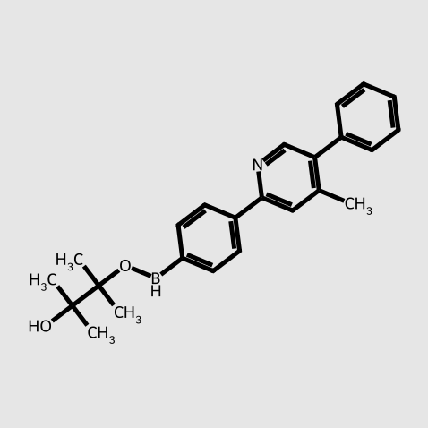 Cc1cc(-c2ccc(BOC(C)(C)C(C)(C)O)cc2)ncc1-c1ccccc1